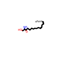 CCCCC/C=C\C/C=C\CCCCCCCC(=O)C(N)CO